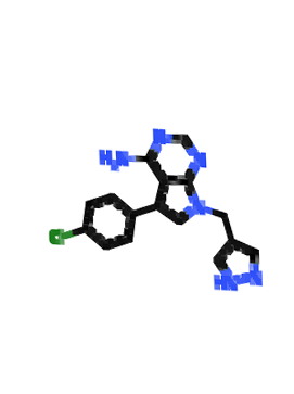 Nc1ncnc2c1c(-c1ccc(Cl)cc1)cn2Cc1cn[nH]c1